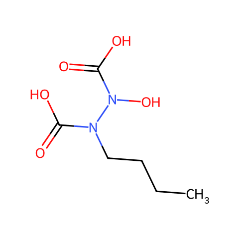 CCCCN(C(=O)O)N(O)C(=O)O